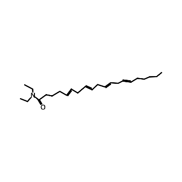 CCCCCC=CCC=CCC=CCC=CCCCC(=O)N(CC)CC